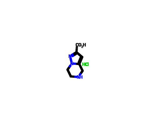 Cl.O=C(O)c1cc2n(n1)CCNC2